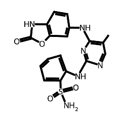 Cc1cnc(Nc2ccccc2S(N)(=O)=O)nc1Nc1ccc2[nH]c(=O)oc2c1